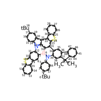 CC(C)(C)c1ccc(N2B3c4cc5c(cc4-n4c6ccc(C(C)(C)C)cc6c6c7c(sc8ccccc87)c(c3c64)-c3cc4c(cc32)C(C)(C)c2ccccc2-4)sc2ccccc25)cc1